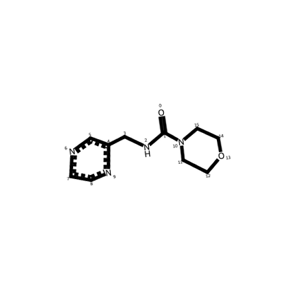 O=C(NCc1cnccn1)N1CCOCC1